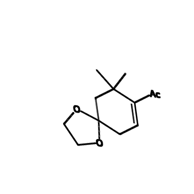 CC(=O)C1=CCC2(CC1(C)C)OCCO2